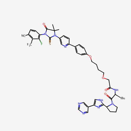 CC(C)(C)C(NC(=O)COCCCCOc1ccc(-c2ccc(N3C(=S)N(c4ccc(C#N)c(C(F)(F)F)c4F)C(=O)C3(C)C)cn2)cc1)C(=O)N1CCCC1c1nc(-c2cncnc2)c[nH]1